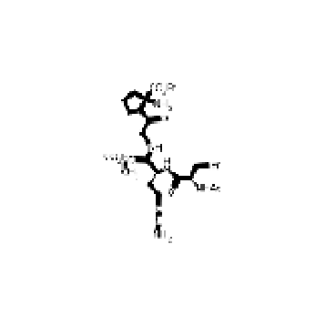 CC(=O)O.CCOC(=O)C1(N)CCCC1C(=O)CNC(=O)[C@H](CCCCN)NC(=O)[C@H](CC(C)C)NC(C)=O